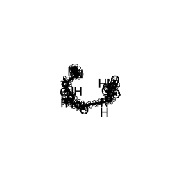 Cc1ccc(C(=O)Nc2ccc(CN3CCN(C(=O)CCCCCCCNc4ccc5c(c4)C(=O)N(C4CCC(=O)NC4=O)C5=O)CC3)c(C(F)(F)F)c2)cc1C#Cc1cnc2cccnn12